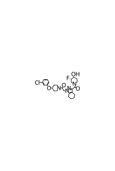 O=C(Cn1nc(C(=O)N2CC[C@@H](O)[C@@H](F)C2)c2c1CCCC2)N1CCC(Oc2cccc(Cl)c2)CC1